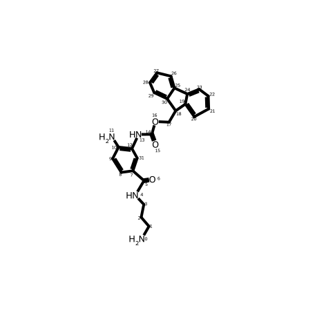 NCCCNC(=O)c1ccc(N)c(NC(=O)OCC2c3ccccc3-c3ccccc32)c1